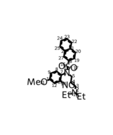 CCN(CC)CCCN(c1ccc(OC)cc1[N+](=O)[O-])S(=O)(=O)c1ccc2ccccc2c1